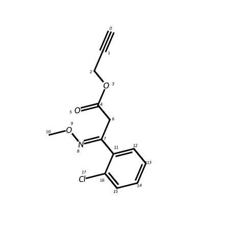 C#CCOC(=O)CC(=NOC)c1c[c]ccc1Cl